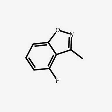 Cc1noc2cccc(F)c12